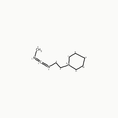 CN=C=NCCN1CCCCC1